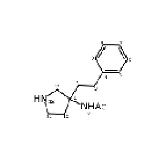 CC(=O)NC1(CCc2ccccc2)CCNC1